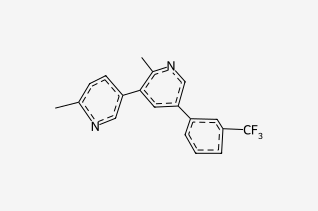 Cc1ccc(-c2cc(-c3cccc(C(F)(F)F)c3)cnc2C)cn1